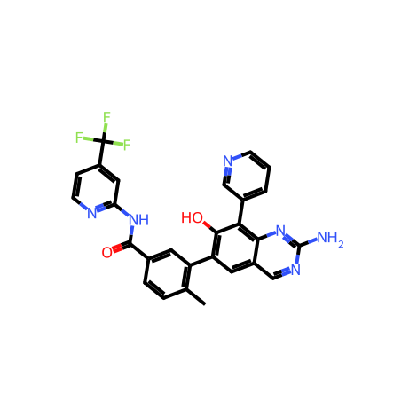 Cc1ccc(C(=O)Nc2cc(C(F)(F)F)ccn2)cc1-c1cc2cnc(N)nc2c(-c2cccnc2)c1O